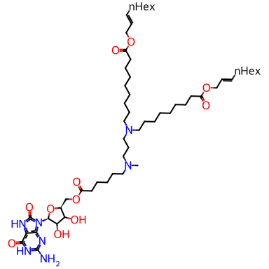 CCCCCC/C=C/COC(=O)CCCCCCCCN(CCCCCCCCC(=O)OC/C=C/CCCCCC)CCCN(C)CCCCCC(=O)OC[C@@H]1O[C@H](n2c(=O)[nH]c3c(=O)[nH]c(N)nc32)C(O)C1O